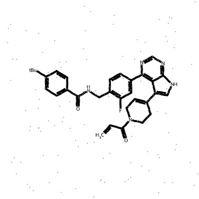 C=CC(=O)N1CC=C(c2c[nH]c3ncnc(-c4ccc(CNC(=O)c5ccc(C(C)(C)C)cc5)c(F)c4)c23)CC1